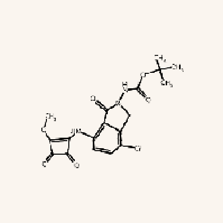 COc1c(Nc2ccc(Cl)c3c2C(=O)N(NC(=O)OC(C)(C)C)C3)c(=O)c1=O